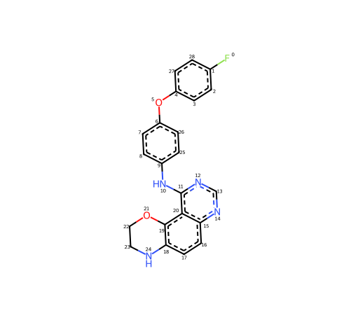 Fc1ccc(Oc2ccc(Nc3ncnc4ccc5c(c34)OCCN5)cc2)cc1